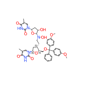 COc1ccc(C(OC[C@H]2O[C@@H](n3cc(C)c(=O)[nH]c3=O)C[C@@H]2CCN(O)C2OC(n3cc(C)c(=O)[nH]c3=O)CC2O)(c2ccccc2)c2ccc(OC)cc2)cc1